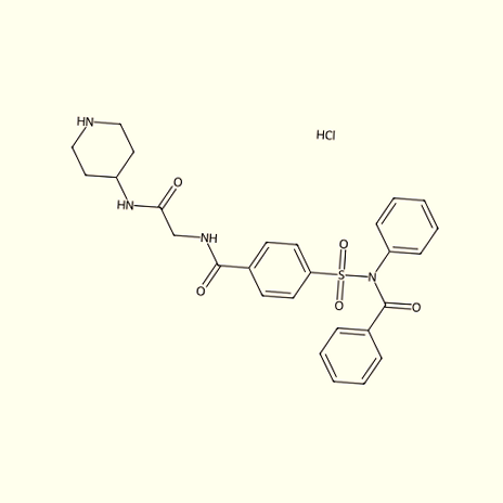 Cl.O=C(CNC(=O)c1ccc(S(=O)(=O)N(C(=O)c2ccccc2)c2ccccc2)cc1)NC1CCNCC1